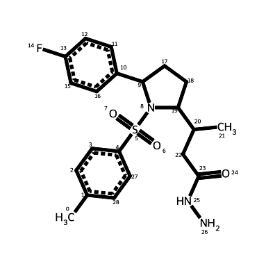 Cc1ccc(S(=O)(=O)N2C(c3ccc(F)cc3)CCC2C(C)CC(=O)NN)cc1